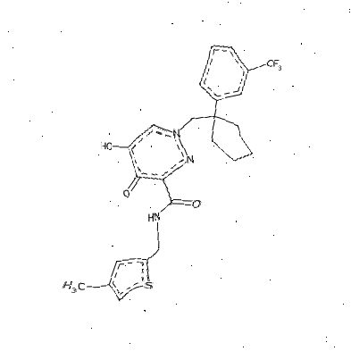 Cc1csc(CNC(=O)c2nn(CC3(c4cccc(C(F)(F)F)c4)CCCC3)cc(O)c2=O)c1